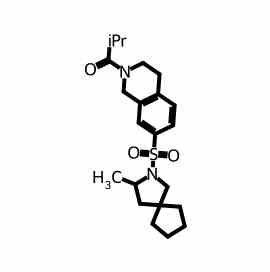 CC(C)C(=O)N1CCc2ccc(S(=O)(=O)N3CC4(CCCC4)CC3C)cc2C1